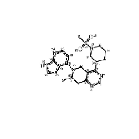 C[C@@H]1Cc2ncnc([C@@H]3CCCN(S(C)(=O)=O)C3)c2CN1c1ccnc2[nH]ccc12